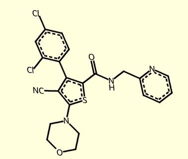 N#Cc1c(N2CCOCC2)sc(C(=O)NCc2ccccn2)c1-c1ccc(Cl)cc1Cl